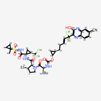 CC[C@@H]1CCN(C(=O)[C@@H](NC(=O)O[C@@H]2C[C@H]2CC/C=C/C(F)(F)c2nc3ccc(C#N)cc3nc2O)C(C)(C)C)[C@@H]1C(=O)N[C@]1(C(=O)NS(=O)(=O)C2(C)CC2)C[C@H]1C(F)F